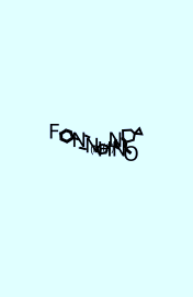 O=c1[nH]c([C@H]2CC[C@@H](N3CCN(c4ccc(F)cc4)CC3)C2)nc2c1CC1(CC2)CC1